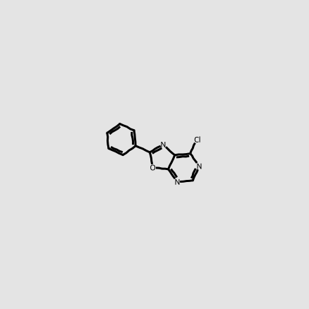 Clc1ncnc2oc(-c3ccccc3)nc12